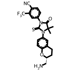 CC1(C)C(=O)N(c2ccc(C#N)c(C(F)(F)F)c2)C(=S)N1c1ccc2c(c1)CC[C@H](CN)O2